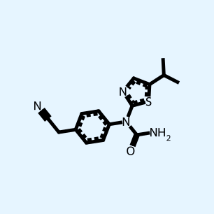 CC(C)c1cnc(N(C(N)=O)c2ccc(CC#N)cc2)s1